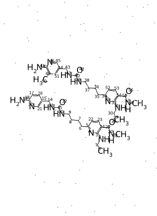 CCNc1nc(CCCCNC(=O)NCc2ccc(N)nc2)ccc1C(=O)NC.CCNc1nc(CCCCNC(=O)NCc2cnc(N)c(C)c2)ccc1C(=O)NC